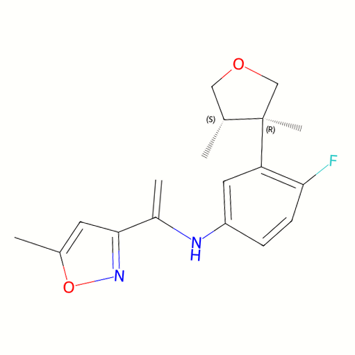 C=C(Nc1ccc(F)c([C@]2(C)COC[C@H]2C)c1)c1cc(C)on1